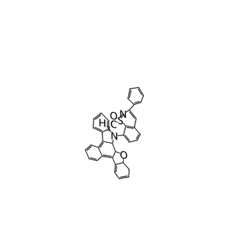 CS1(=O)=NC(c2ccccc2)=Cc2cccc(N3c4ccccc4C4=c5ccccc5=C5C6=CC=CCC6OC5C43)c21